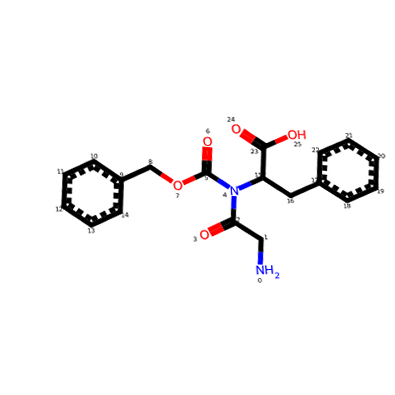 NCC(=O)N(C(=O)OCc1ccccc1)C(Cc1ccccc1)C(=O)O